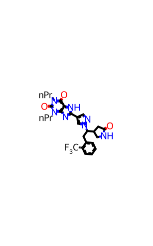 CCCn1c(=O)c2[nH]c(-c3cnn(C(Cc4ccccc4C(F)(F)F)C4CNC(=O)C4)c3)nc2n(CCC)c1=O